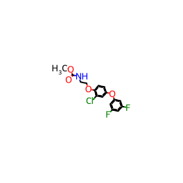 COC(=O)NCCOc1ccc(Oc2cc(F)cc(F)c2)cc1Cl